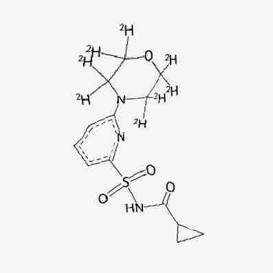 [2H]C1([2H])OC([2H])([2H])C([2H])([2H])N(c2cccc(S(=O)(=O)NC(=O)C3CC3)n2)C1([2H])[2H]